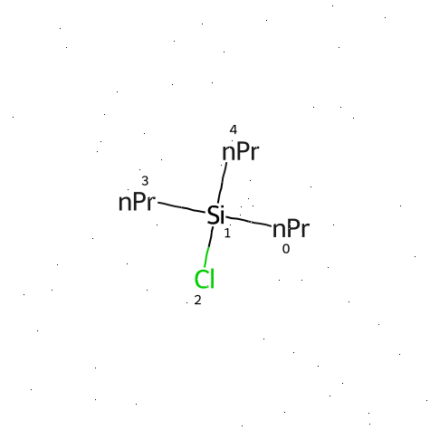 CCC[Si](Cl)(CCC)CCC